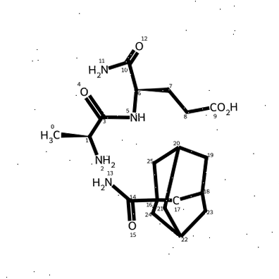 C[C@H](N)C(=O)N[C@H](CCC(=O)O)C(N)=O.NC(=O)C12CC3CC(CC(C3)C1)C2